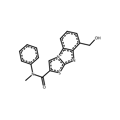 CN(C(=O)c1cn2c(nc3c(CO)cccc32)s1)c1ccccc1